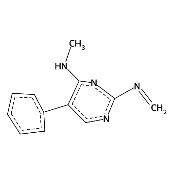 C=Nc1ncc(-c2ccccc2)c(NC)n1